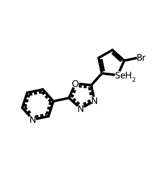 BrC1=CC=C(c2nnc(-c3cccnc3)o2)[SeH2]1